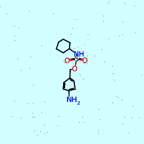 Nc1ccc(COS(=O)(=O)NC2CCCCC2)cc1